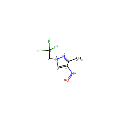 Cc1nn(CC(F)(F)F)cc1N=O